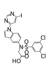 O=C(O)CN(c1ccc2c(ccn2-c2cc(I)ncn2)c1)S(=O)(=O)c1cc(Cl)cc(Cl)c1